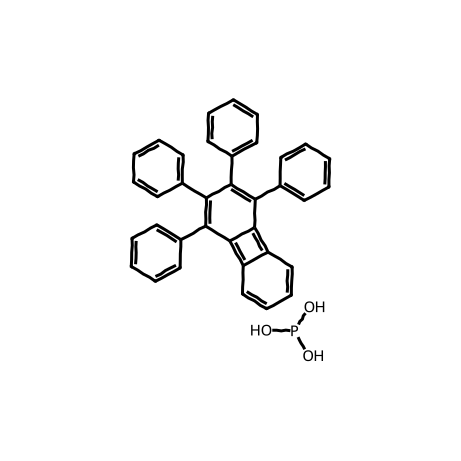 OP(O)O.c1ccc(-c2c(-c3ccccc3)c(-c3ccccc3)c3c(c2-c2ccccc2)=c2ccccc2=3)cc1